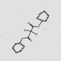 CCC(CC)(C(=O)Oc1ccccc1)C(=O)Oc1ccccc1